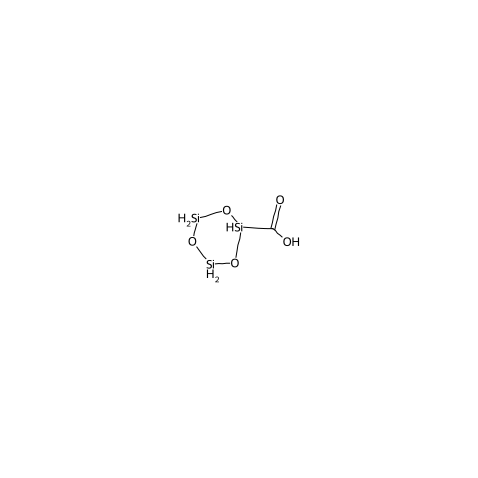 O=C(O)[SiH]1O[SiH2]O[SiH2]O1